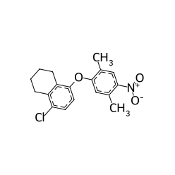 Cc1cc([N+](=O)[O-])c(C)cc1Oc1ccc(Cl)c2c1CCCC2